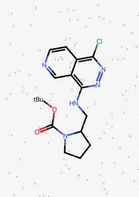 CC(C)(C)OC(=O)N1CCCC1CNc1nnc(Cl)c2ccncc12